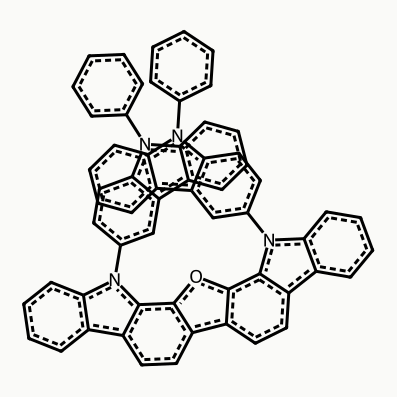 c1ccc(-n2c3ccccc3c3cc(-n4c5ccccc5c5ccc6c7ccc8c9ccccc9n(-c9ccc%10c(c9)c9ccccc9n%10-c9ccccc9)c8c7oc6c54)ccc32)cc1